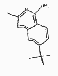 Cc1cc2cc(C(C)(C)C)ccc2c(N)n1